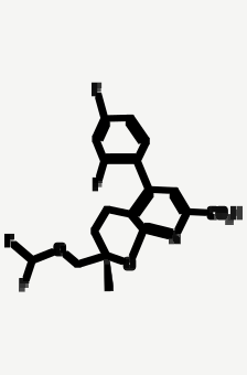 C[C@@]1(COC(F)F)CCc2c(-c3ccc(F)cc3F)cc(C(=O)O)nc2O1